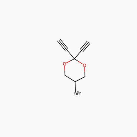 C#CC1(C#C)OCC(CCC)CO1